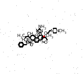 CC(C)[C@@H](C)[C@@]1(C)CC[C@]2(C)[C@H]3CC[C@@H]4[C@@]5(COC[C@]4(C)[C@@H](OCCN4CCN(C)CC4)[C@H](n4nnc(N)n4)C5)C3=CC[C@@]2(C)[C@@H]1C(=O)OCc1ccccc1